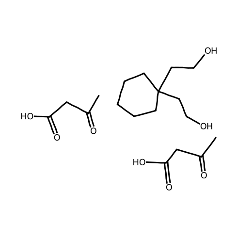 CC(=O)CC(=O)O.CC(=O)CC(=O)O.OCCC1(CCO)CCCCC1